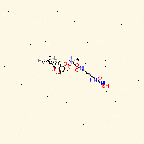 COC1C(OC(=O)N[C@@H](COC(=O)NCCCCCCNC(=O)CNO)C(C)C)CC[C@]2(CO2)C1[C@H]1O[C@@H]1CC=C(C)C